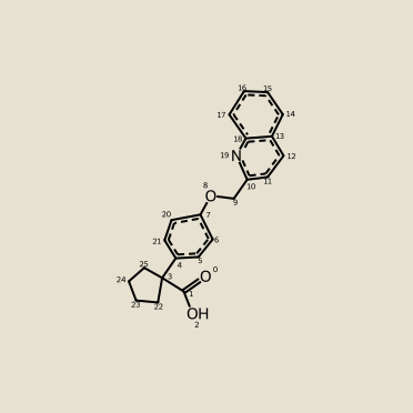 O=C(O)C1(c2ccc(OCc3ccc4ccccc4n3)cc2)CCCC1